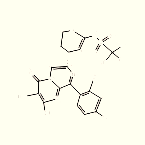 Cc1nc2c(-c3ccc(F)cc3F)nc([C@H]3C=C(OS(=O)(=O)C(F)(F)F)OCC3)cn2c(=O)c1C